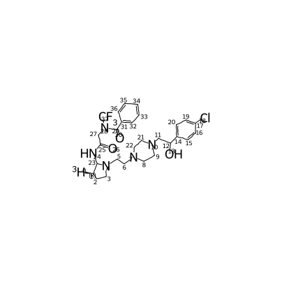 [3H][C@@H]1CCN(CCN2CCN(CC(O)c3ccc(Cl)cc3)CC2)C1NC(=O)CN(C(=O)c1ccccc1)C(F)(F)F